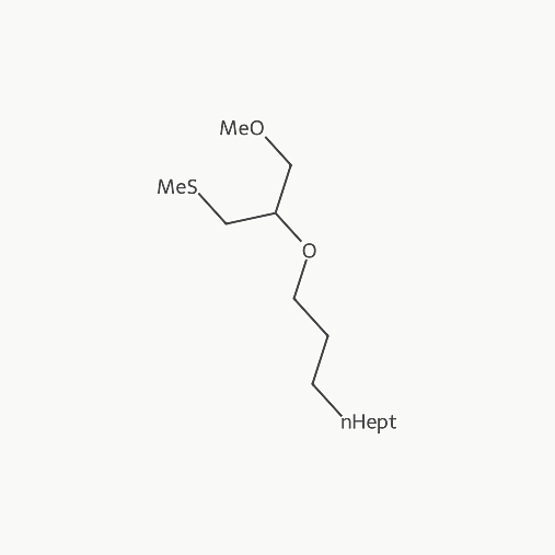 CCCCCCCCCCOC(COC)CSC